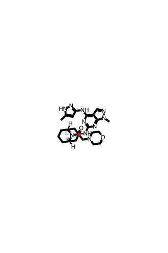 Cc1cc(Nc2nc(N[C@@H]3C[C@H]4CCC[C@@H](C3)N4C(=O)CN3CCOCC3)nc3c2cnn3C)n[nH]1